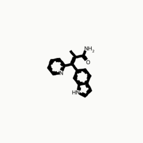 CC(C(N)=O)=C(c1ccc2cc[nH]c2c1)c1ccccn1